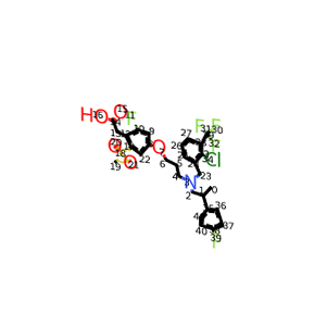 CC(CN(CCCOc1cc(F)c(CC(=O)O)c(S(C)(=O)=O)c1)Cc1cccc(C(F)(F)F)c1Cl)c1ccc(F)cc1